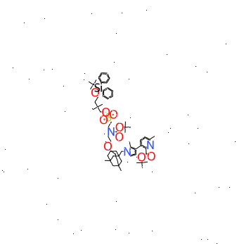 Cc1ccc(-c2ccn(CC34CC5(C)CC(C)(C3)CC(OCCN(CCS(=O)(=O)OCC(C)(C)CCO[Si](c3ccccc3)(c3ccccc3)C(C)(C)C)C(=O)OC(C)(C)C)(C5)C4)c2C)c(C(=O)OC(C)(C)C)n1